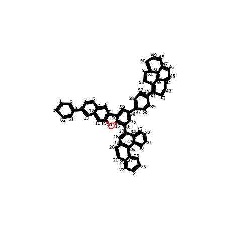 c1ccc(-c2ccc3cc4c(cc3c2)oc2c(-c3cc5ccc6ccccc6c5c5ccccc35)cc(-c3ccc(-c5ccc6ccc7cccc8ccc5c6c78)cc3)cc24)cc1